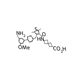 COc1cc(CN)cc(-c2ccc(Cc3c(C)sc(C)c3C(=O)NC3CC4(C3)CC(C(=O)O)C4)cc2)c1